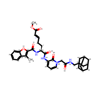 COC(=O)/C=C/CC[C@H](NC(=O)c1oc2ccccc2c1C)C(=O)Nc1cccn(CC(=O)NCC23CC4CC(CC(C4)C2)C3)c1=O